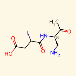 CC(=O)[C@@H](CN)NC(=O)C(I)CC(=O)O